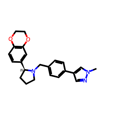 Cn1cc(-c2ccc(CN3CCC[C@H]3c3ccc4c(c3)OCCO4)cc2)cn1